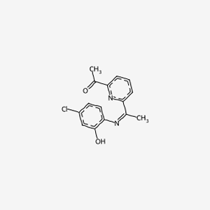 CC(=O)c1cccc(/C(C)=N\c2ccc(Cl)cc2O)n1